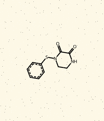 O=C1NCCN(Sc2ccccc2)C1=O